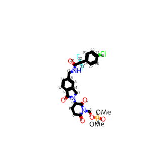 COP(=O)(OC)OCN1C(=O)CCC(N2Cc3cc(CNC(=O)C(F)(F)c4ccc(Cl)cc4)ccc3C2=O)C1=O